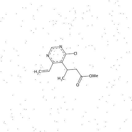 C=Cc1ncnc(Cl)c1C(C)CC(=O)OC